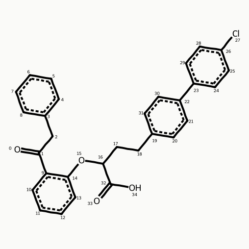 O=C(Cc1ccccc1)c1ccccc1OC(CCc1ccc(-c2ccc(Cl)cc2)cc1)C(=O)O